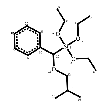 CCO[Si](OCC)(OCC)C(OCC(C)C)c1ccccc1